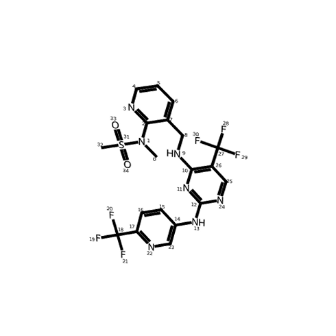 CN(c1ncccc1CNc1nc(Nc2ccc(C(F)(F)F)nc2)ncc1C(F)(F)F)S(C)(=O)=O